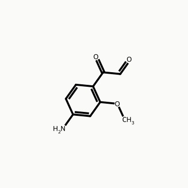 COc1cc(N)ccc1C(=O)C=O